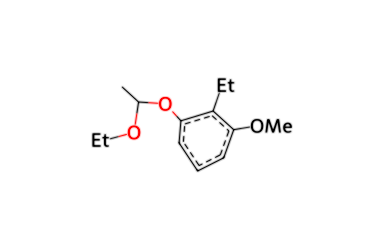 [CH2]Cc1c(OC)cccc1OC(C)OCC